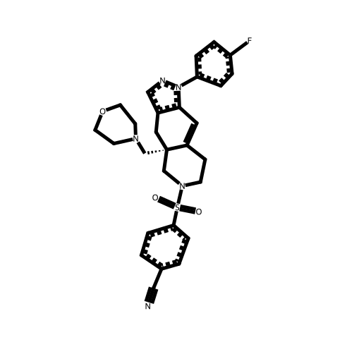 N#Cc1ccc(S(=O)(=O)N2CCC3=Cc4c(cnn4-c4ccc(F)cc4)C[C@]3(CN3CCOCC3)C2)cc1